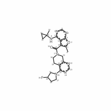 Cc1oc2ncnc(NC3(C)CC3)c2c1C(=O)N1CCc2c(ncnc2N2CCC(F)C2)C1